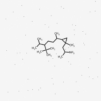 CC(N)CC1(C)CC1C(C)CCC(C(C)C)C(C)(C)C